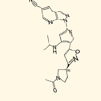 CC(=O)N1CC[C@H](c2cc(-c3cnc(-n4ncc5cc(C#N)cnc54)cc3NC(C)C)on2)C1